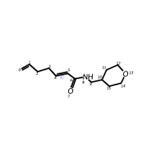 C=CCC/C=C/C(=O)NCC1CCOCC1